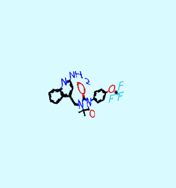 CC1(C)C(=O)N(c2ccc(OC(F)(F)F)cc2)C(=O)N1Cc1cc(N)nc2ccccc12